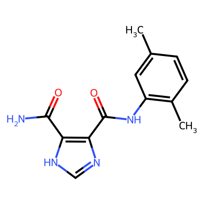 Cc1ccc(C)c(NC(=O)c2nc[nH]c2C(N)=O)c1